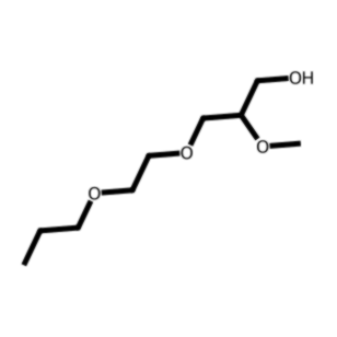 CCCOCCOCC(CO)OC